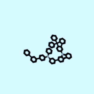 c1ccc(-c2cccc(-c3ccc(N(c4ccccc4)c4cccc(-c5ccc6c7ccccc7n(-c7ccc8c(c7)-c7ccccc7C8(c7ccccc7)c7ccccc7)c6c5)c4)cc3)c2)cc1